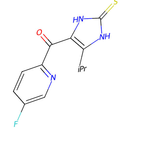 CC(C)c1[nH]c(=S)[nH]c1C(=O)c1ccc(F)cn1